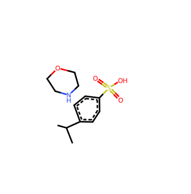 C1COCCN1.CC(C)c1ccc(S(=O)(=O)O)cc1